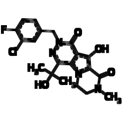 CN1CCn2c(c(O)c3c(=O)n(Cc4ccc(F)c(Cl)c4)nc(C(C)(C)O)c32)C1=O